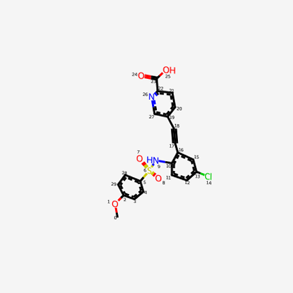 COc1ccc(S(=O)(=O)Nc2ccc(Cl)cc2C#Cc2ccc(C(=O)O)nc2)cc1